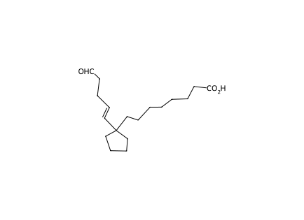 O=CCCC=CC1(CCCCCCCC(=O)O)CCCC1